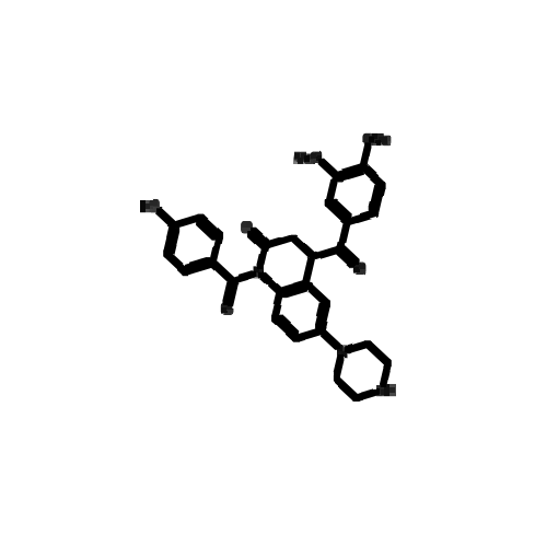 COc1ccc(C(=O)C2CC(=O)N(C(=O)c3ccc(O)cc3)c3ccc(N4CCNCC4)cc32)cc1OC